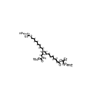 CCCCCC(CC)OCCCCCCCCN(CCCCCCCCC(=O)OC(CC)CCCCC)CCCNC(=O)OC(C)(C)C